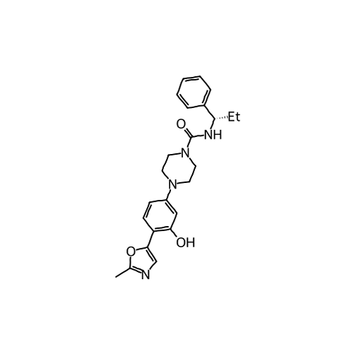 CC[C@H](NC(=O)N1CCN(c2ccc(-c3cnc(C)o3)c(O)c2)CC1)c1ccccc1